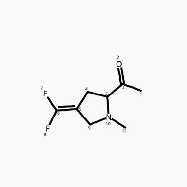 CC(=O)C1CC(=C(F)F)CN1C